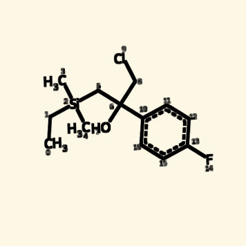 CC[Si](C)(C)CC(O)(CCl)c1ccc(F)cc1